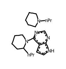 CCCC1CCCCN1c1ncnc2[nH]ccc12.CCCN1CCCCC1